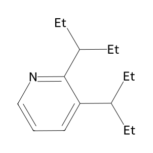 CCC(CC)c1cccnc1C(CC)CC